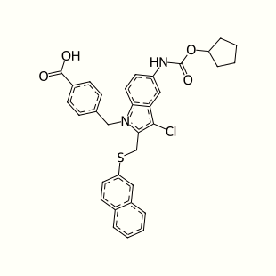 O=C(Nc1ccc2c(c1)c(Cl)c(CSc1ccc3ccccc3c1)n2Cc1ccc(C(=O)O)cc1)OC1CCCC1